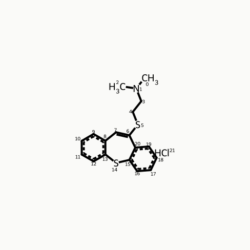 CN(C)CCSC1=Cc2ccccc2Sc2ccccc21.Cl